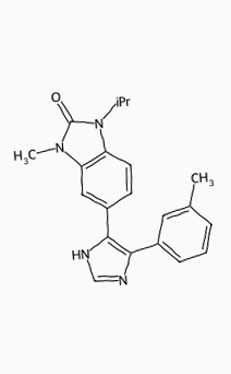 Cc1cccc(-c2nc[nH]c2-c2ccc3c(c2)n(C)c(=O)n3C(C)C)c1